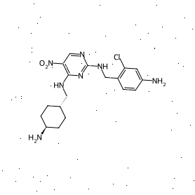 Nc1ccc(CNc2ncc([N+](=O)[O-])c(NC[C@H]3CC[C@H](N)CC3)n2)c(Cl)c1